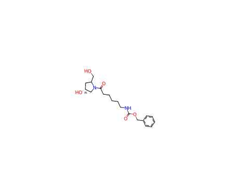 O=C(NCCCCCC(=O)N1C[C@H](O)CC1CO)OCc1ccccc1